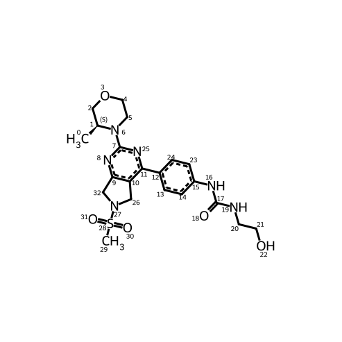 C[C@H]1COCCN1c1nc2c(c(-c3ccc(NC(=O)NCCO)cc3)n1)CN(S(C)(=O)=O)C2